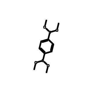 COB(OC)c1ccc(B(OC)OC)cc1